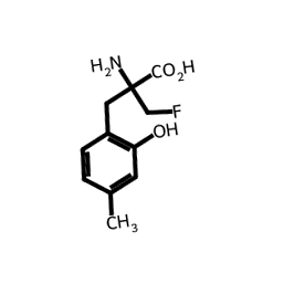 Cc1ccc(CC(N)(CF)C(=O)O)c(O)c1